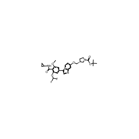 COc1cc(-c2cnc3cc(OC[C@H]4CCN(C(=O)OC(C)(C)C)C4)ccn23)cc(OC(F)F)c1C(=O)NC1CC1